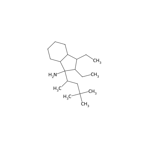 CCC1C2CCCCC2C(N)(C(C)CC(C)(C)C)C1CC